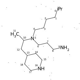 CC(C)CCCCN(CCCN)C(C)CC1CCNCC1